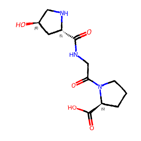 O=C(NCC(=O)N1CCC[C@H]1C(=O)O)[C@@H]1C[C@@H](O)CN1